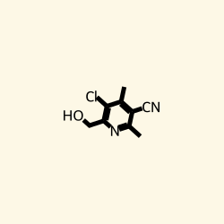 Cc1nc(CO)c(Cl)c(C)c1C#N